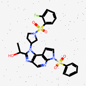 CC(O)c1nc2cnc3c(ccn3S(=O)(=O)c3ccccc3)c2n1C1CCN(S(=O)(=O)c2ccccc2F)C1